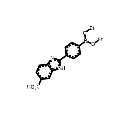 CCON(OCC)c1ccc(-c2nc3ccc(C(=O)O)cc3[nH]2)cc1